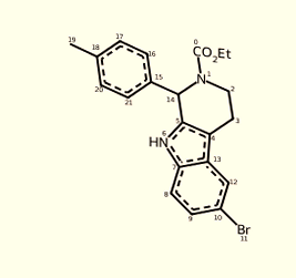 CCOC(=O)N1CCc2c([nH]c3ccc(Br)cc23)C1c1ccc(C)cc1